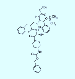 CC(C)[C@H](NC(=O)[C@H](Cc1ccccc1)C[C@H]([C@@H](NC(=O)OC(C)(C)C)C(O[SiH](C)C)c1ccccc1)C(C)(C)C)C(=O)N1CCC(NC(=O)OCc2ccccc2)CC1